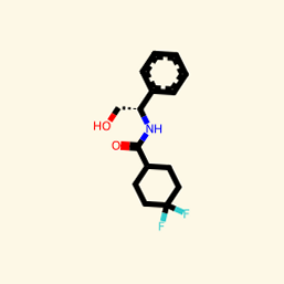 O=C(N[C@H](CO)c1ccccc1)C1CCC(F)(F)CC1